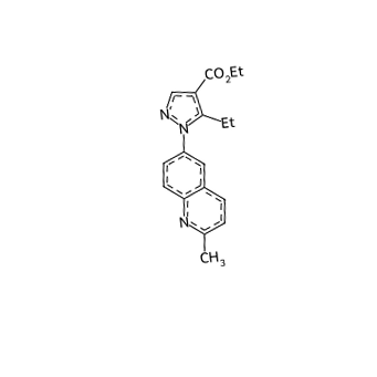 CCOC(=O)c1cnn(-c2ccc3nc(C)ccc3c2)c1CC